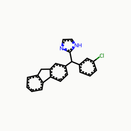 Clc1cccc(C(c2ccc3c(c2)Cc2ccccc2-3)c2ncc[nH]2)c1